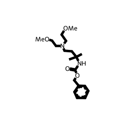 COCCN(CCOC)CCC(C)(C)NC(=O)OCc1ccccc1